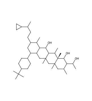 CC(O)C1C(C)CC2(C)CC3(C)CC4C(C5CCC(C(C)(C)C)CC5)CC(CCC(C)C5CC5)C(C)C4C(O)C3C(C)[C@]2(C)C1O